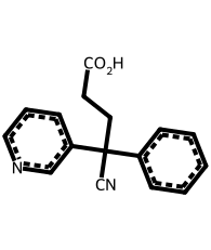 N#CC(CCC(=O)O)(c1ccccc1)c1cccnc1